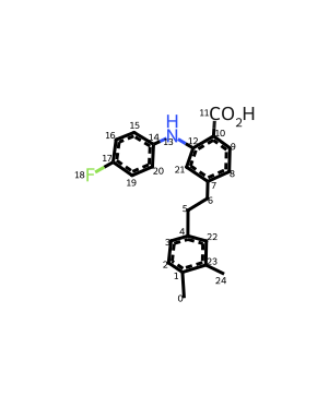 Cc1ccc(CCc2ccc(C(=O)O)c(Nc3ccc(F)cc3)c2)cc1C